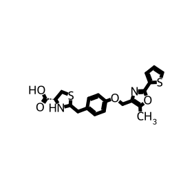 Cc1oc(-c2cccs2)nc1COc1ccc(CC2N[C@H](C(=O)O)CS2)cc1